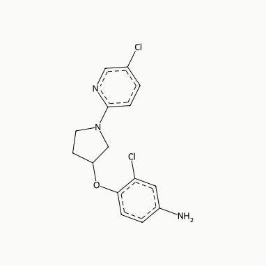 Nc1ccc(OC2CCN(c3ccc(Cl)cn3)C2)c(Cl)c1